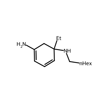 CCCCCCCNC1(CC)C=CC=C(N)C1